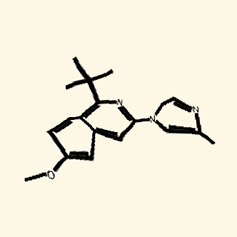 COc1ccc2c(C(C)(C)C)nc(-n3cnc(C)c3)cc2c1